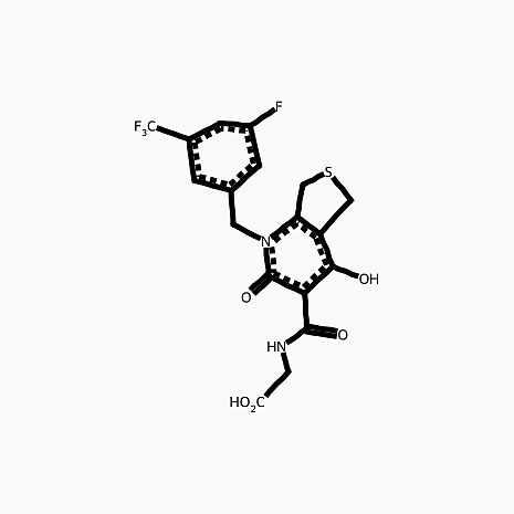 O=C(O)CNC(=O)c1c(O)c2c(n(Cc3cc(F)cc(C(F)(F)F)c3)c1=O)CSC2